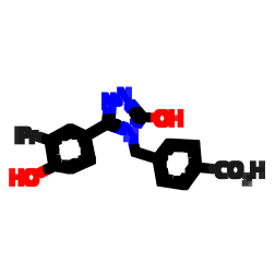 CC(C)c1cc(-c2nnc(O)n2Cc2ccc(C(=O)O)cc2)ccc1O